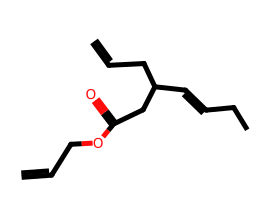 C=CCOC(=O)CC(/C=C/CC)CC=C